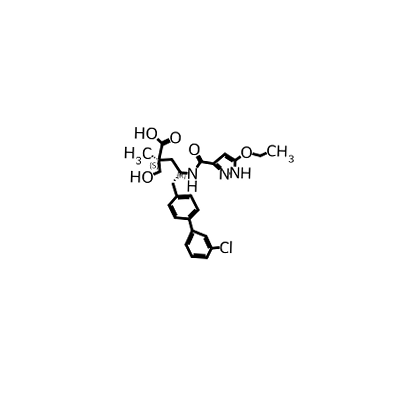 CCOc1cc(C(=O)N[C@H](Cc2ccc(-c3cccc(Cl)c3)cc2)C[C@@](C)(CO)C(=O)O)n[nH]1